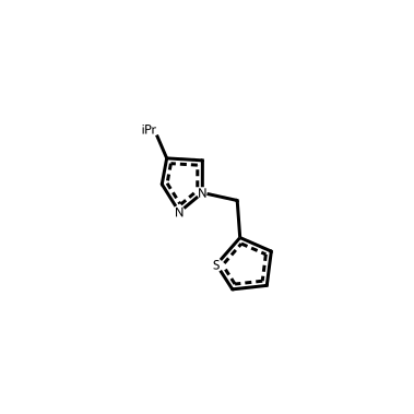 CC(C)c1cnn(Cc2cccs2)c1